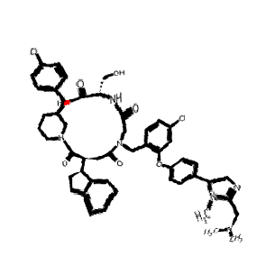 CN(C)Cc1ncc(-c2ccc(Oc3cc(Cl)ccc3CN3CC(=O)N[C@@H](CO)C(=O)N[C@@]4(Cc5ccc(Cl)cc5)CCCN(C4)C(=O)[C@H]([C@@H]4CCc5ccccc54)CC3=O)cc2)n1C